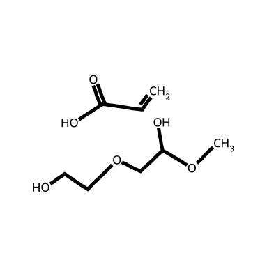 C=CC(=O)O.COC(O)COCCO